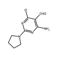 Nc1nc(N2CCCC2)nc(Cl)c1C=O